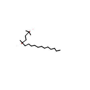 CCCCCCCCCCCCC(C)(O)CCC(C)(C)O